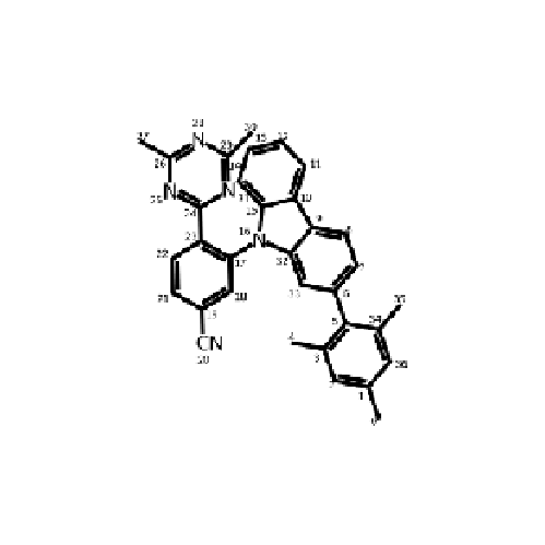 Cc1cc(C)c(-c2ccc3c4ccccc4n(-c4cc(C#N)ccc4-c4nc(C)nc(C)n4)c3c2)c(C)c1